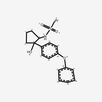 CC(C)S(=O)(=O)NC1CCCC1(O)c1ccc(Oc2ccccc2)cc1